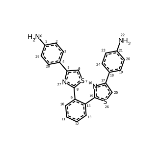 Nc1ccc(-c2csc(-c3ccccc3-c3nc(-c4ccc(N)cc4)cs3)n2)cc1